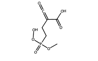 COP(=O)(CCC(=C=O)C(=O)O)OO